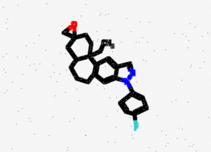 CCC12CCC3(CO3)CC1CCCc1cc3c(cnn3-c3ccc(F)cc3)cc12